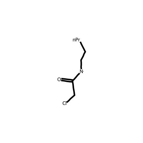 CCCCC[N]C(=O)CCl